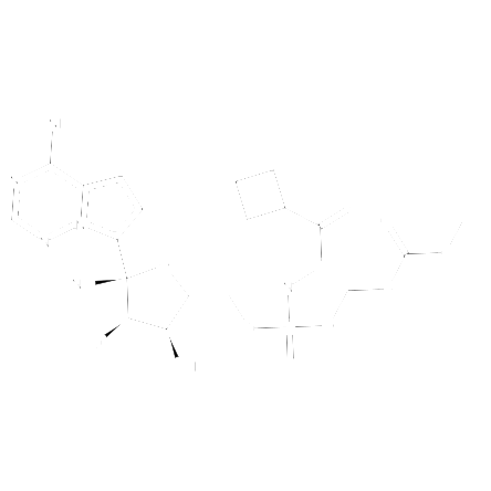 CC(C)OC(=O)OCOP(=O)(NOC(=O)C1CCC1)OC[C@H]1O[C@@](C#N)(c2ccc3c(N)ncnn23)[C@H](O)[C@@H]1O